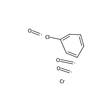 Clc1ccccc1.[C]=O.[C]=O.[C]=O.[Cr]